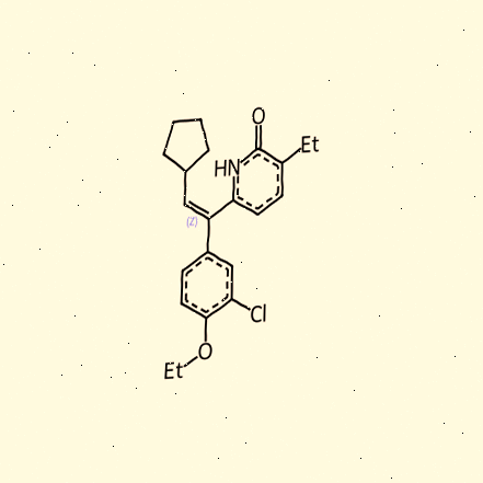 CCOc1ccc(/C(=C/C2CCCC2)c2ccc(CC)c(=O)[nH]2)cc1Cl